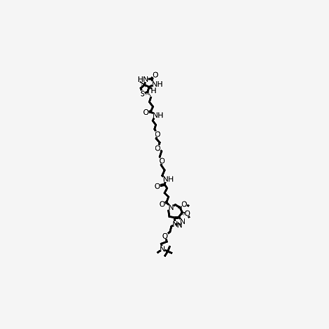 CO[C@H]1CN(C(=O)CCCC(=O)NCCCOCCOCCOCCCNC(=O)CCC[C@@H]2SC[C@]3(C)NC(=O)N[C@H]23)CCc2c(nnn2CCOCCN(C)C(C)(C)C)[C@@H]1OC